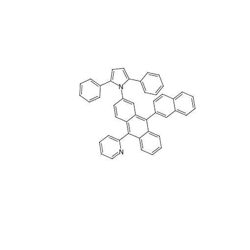 c1ccc(-c2ccc(-c3ccccc3)n2-c2ccc3c(-c4ccccn4)c4ccccc4c(-c4ccc5ccccc5c4)c3c2)cc1